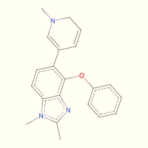 Cc1nc2c(Oc3ccccc3)c(C3=CN(C)CC=C3)ccc2n1C